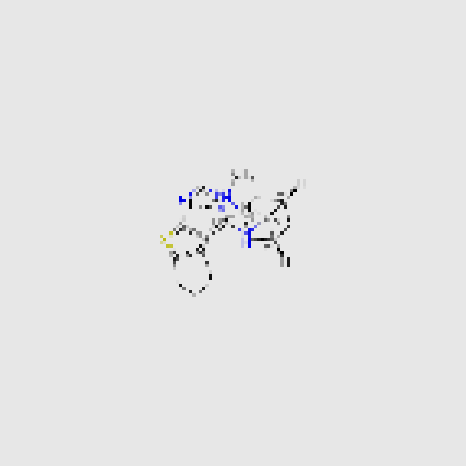 CN(C)[C@@H]1C[C@H]2C[C@@H](C1)[C@@H]2Nc1ncnc2sc3c(c12)CCC3